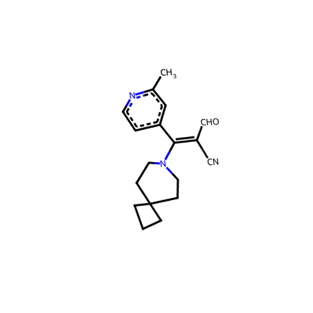 Cc1cc(/C(=C(/C#N)C=O)N2CCC3(CCC3)CC2)ccn1